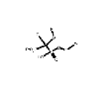 CCOOP(=O)(O)C(F)(OCC)C(=O)OCC